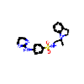 CC(CNS(=O)(=O)c1ccc(Nc2ncccn2)cc1)N1CCc2ccccc21